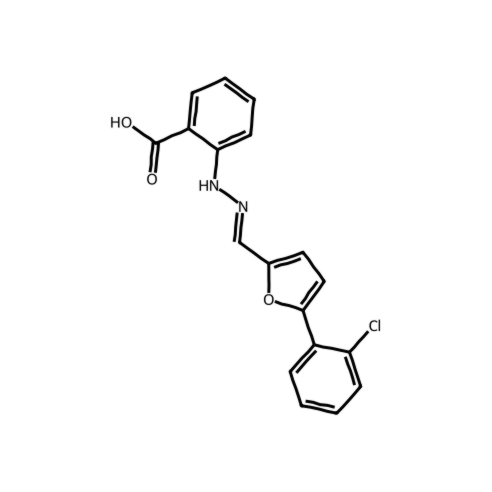 O=C(O)c1ccccc1NN=Cc1ccc(-c2ccccc2Cl)o1